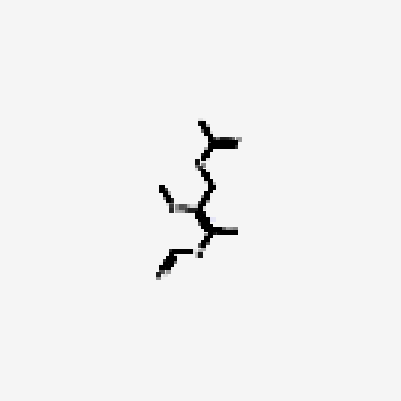 CO/C(COC(C)=O)=C(/C)OC=O